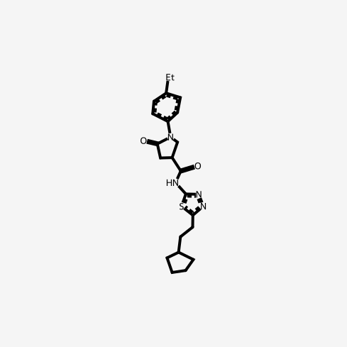 CCc1ccc(N2CC(C(=O)Nc3nnc(CCC4CCCC4)s3)CC2=O)cc1